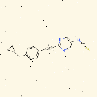 S=C=Nc1cnc(C#Cc2ccc(CC3CC3)cc2)nc1